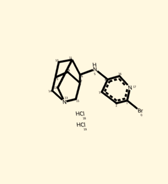 Brc1ccc(NC2C3CC4CC2CN(C4)C3)cn1.Cl.Cl